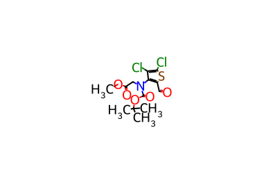 COC(=O)CN(C(=O)OC(C)(C)C)c1c(C=O)sc(Cl)c1Cl